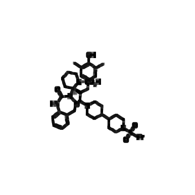 Cc1cc(CC(C(=O)N2CCC(C3CCN(S(=O)(=O)C(C)C)CC3)CC2)[C@@]2(N3CCc4ccccc4NC3=O)CCCCN2C(=O)O)cc(C)c1O